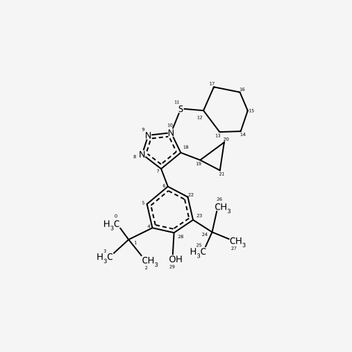 CC(C)(C)c1cc(-c2nnn(SC3CCCCC3)c2C2CC2)cc(C(C)(C)C)c1O